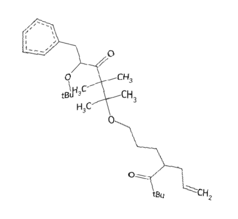 C=CCC(CCCOC(C)(C)C(C)(C)C(=O)C(Cc1ccccc1)OC(C)(C)C)C(=O)C(C)(C)C